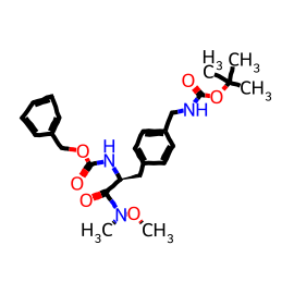 CON(C)C(=O)[C@H](Cc1ccc(CNC(=O)OC(C)(C)C)cc1)NC(=O)OCc1ccccc1